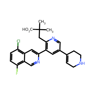 CC(C)(Cc1ncc(C2=CCNCC2)cc1-c1cc2c(Cl)ccc(F)c2cn1)C(=O)O